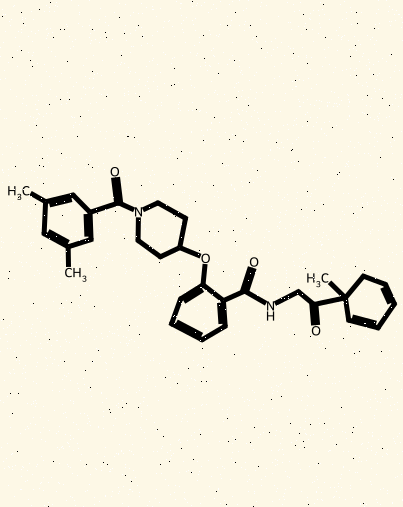 Cc1cc(C)cc(C(=O)N2CCC(Oc3ccccc3C(=O)NCC(=O)C3(C)C=CC=CC3)CC2)c1